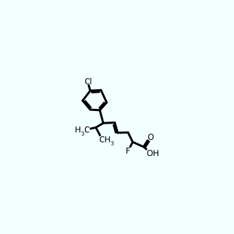 CC(C)C(C=CCC(F)C(=O)O)c1ccc(Cl)cc1